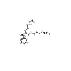 CCCCCCCC(CCCCC)Nc1ccccn1